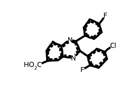 O=C(O)c1ccc2nc(-c3ccc(F)cc3)c(-c3cc(Cl)ccc3F)nc2c1